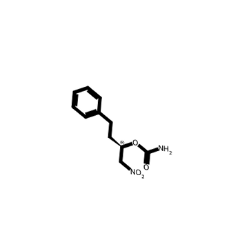 NC(=O)O[C@H](CCc1ccccc1)C[N+](=O)[O-]